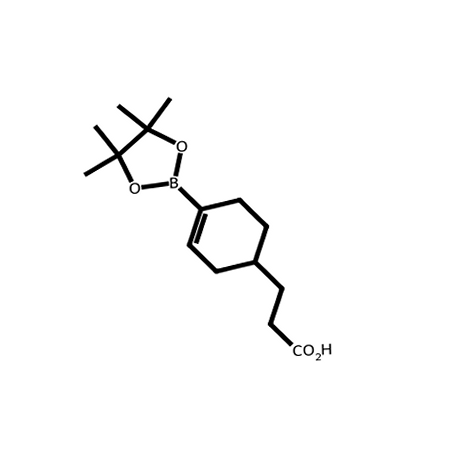 CC1(C)OB(C2=CCC(CCC(=O)O)CC2)OC1(C)C